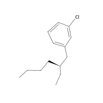 CCCC[C@H](CC)Cc1cccc(Cl)c1